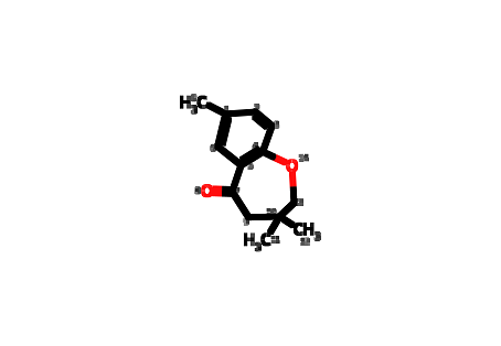 Cc1ccc2c(c1)C(=O)CC(C)(C)CO2